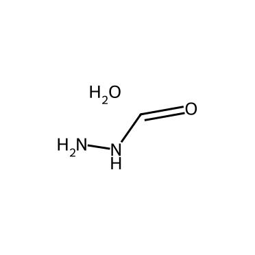 NNC=O.O